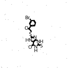 O=C(CSc1nc2[nH]c(=S)[nH]c(=O)c2[nH]1)c1cccc(Br)c1